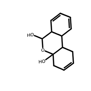 OC1OC2(O)CC=CCC2C2C=CC=CC12